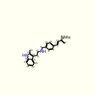 C=C(/C=C/c1ccc(CNCCc2c(C)[nH]c3ccccc23)cc1)NC